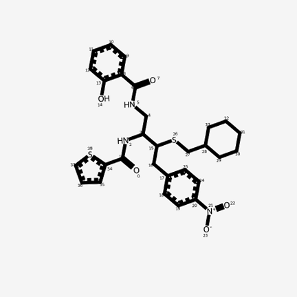 O=C(NC(CNC(=O)c1ccccc1O)C(Cc1ccc([N+](=O)[O-])cc1)SCC1CCCCC1)c1cccs1